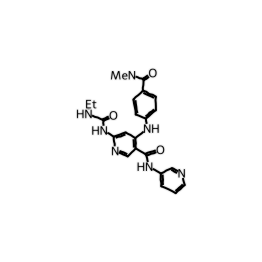 CCNC(=O)Nc1cc(Nc2ccc(C(=O)NC)cc2)c(C(=O)Nc2cccnc2)cn1